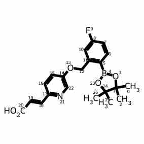 CC1(C)OB(c2ccc(F)cc2COc2ccc(/C=C/C(=O)O)nc2)OC1(C)C